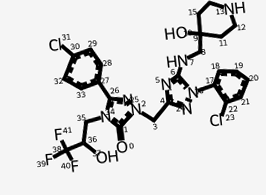 O=c1n(Cc2nc(NCC3(O)CCNCC3)n(-c3ccccc3Cl)n2)nc(-c2ccc(Cl)cc2)n1CC(O)C(F)(F)F